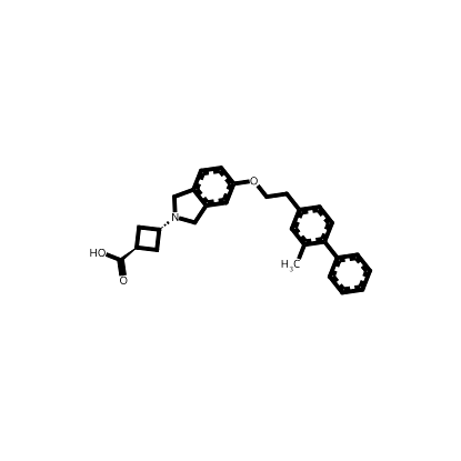 Cc1cc(CCOc2ccc3c(c2)CN([C@H]2C[C@H](C(=O)O)C2)C3)ccc1-c1ccccc1